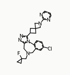 FC1(CN2Cc3cc(Cl)ccc3-n3c(nnc3C3CC4(C3)CN(c3ncccn3)C4)C2)CC1